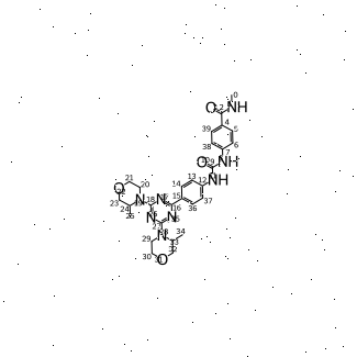 CNC(=O)c1ccc(NC(=O)Nc2ccc(-c3nc(N4CCOCC4C)nc(N4CCOCC4C)n3)cc2)cc1